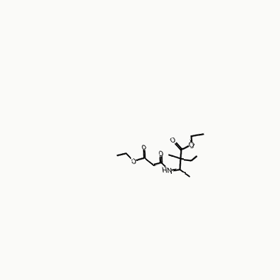 CCOC(=O)CC(=O)NC(C)C(C)(CC)C(=O)OCC